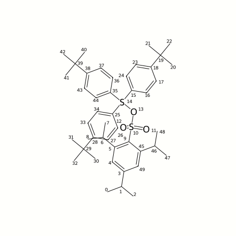 CC(C)c1cc(C(C)C)c(S(=O)(=O)OS(c2ccc(C(C)(C)C)cc2)(c2ccc(C(C)(C)C)cc2)c2ccc(C(C)(C)C)cc2)c(C(C)C)c1